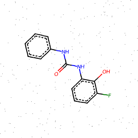 O=C(Nc1ccccc1)Nc1cccc(F)c1O